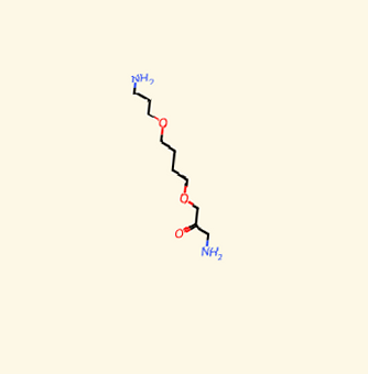 NCCCOCCCCOCC(=O)CN